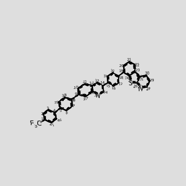 FC(F)(F)c1ccc(-c2ccc(-c3ccc4cc(-c5ccc(-c6cccc7c6sc6ncccc67)cc5)cnc4c3)cc2)cc1